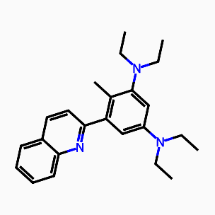 CCN(CC)c1cc(-c2ccc3ccccc3n2)c(C)c(N(CC)CC)c1